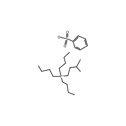 CCCC[P+](CCCC)(CCCC)CCC(C)C.O=S(=O)([O-])c1ccccc1